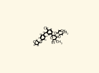 C=CCO[C@@H]1[C@@H](OCC=C)[C@H](C)[C@@H](CC)O[C@H]1c1ccc(Cl)c(Cc2ccc(O[C@H]3CCOC3)cc2)c1